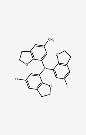 Cc1cc2c(c(P(c3cc(Cl)cc4c3OCC4)c3cc(Cl)cc4c3OCC4)c1)OCC2